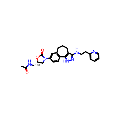 CC(=O)NC[C@H]1CN(c2ccc3c(c2)CCCc2c(NCCc4ccccn4)n[nH]c2-3)C(=O)O1